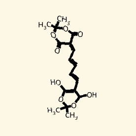 CC1(C)OC(=O)C(=C/C=C/C=C/C2=C(O)OC(C)(C)OC2O)C(=O)O1